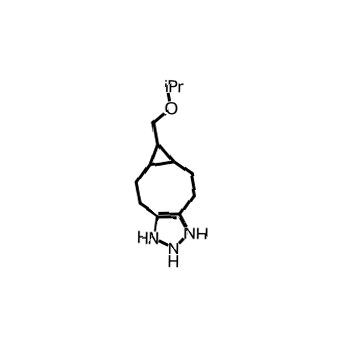 CC(C)OCC1C2CCC3=C(CCC21)NNN3